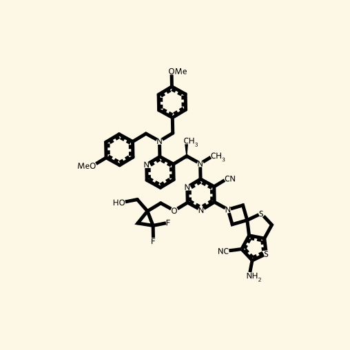 COc1ccc(CN(Cc2ccc(OC)cc2)c2ncccc2[C@@H](C)N(C)c2nc(OCC3(CO)CC3(F)F)nc(N3CC4(C3)SCc3sc(N)c(C#N)c34)c2C#N)cc1